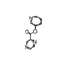 O=C(Oc1cccnc1)c1cnccn1